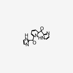 O=C(c1cccc(C(=O)c2ncc[nH]2)n1)c1ncc[nH]1